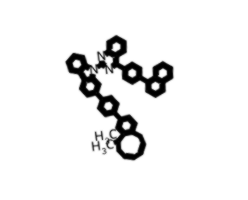 CC1(C)C/C=C\C=C/Cc2ccc(-c3ccc(-c4ccc5c6ccccc6n(-c6nc(-c7ccc(-c8cccc9ccccc89)cc7)c7ccccc7n6)c5c4)cc3)cc21